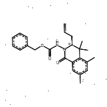 C=CC[C@@H]1N(NC(=O)OCc2ccccc2)C(=O)c2cc(C)cc(C)c2C1(C)C